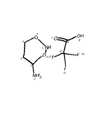 NC1CCONO1.O=C(O)C(F)(F)F